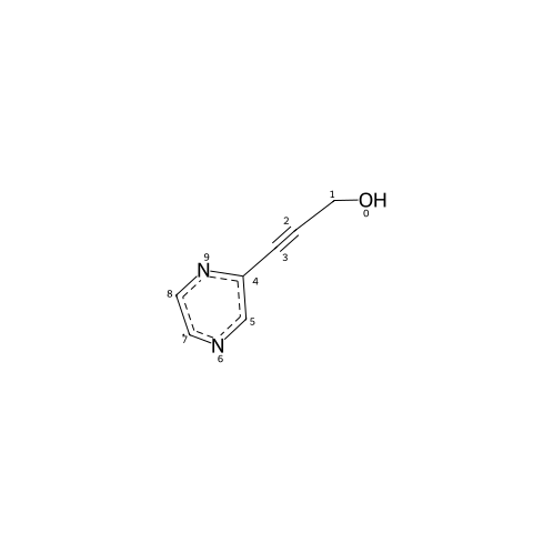 OCC#Cc1cn[c]cn1